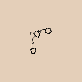 [I-].c1ccc(CSCc2cc[n+](Cc3ccccc3)cc2)cc1